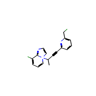 CC(C#Cc1cccc(CF)n1)[N+]12C=CC=C(Br)C1=NC=C2